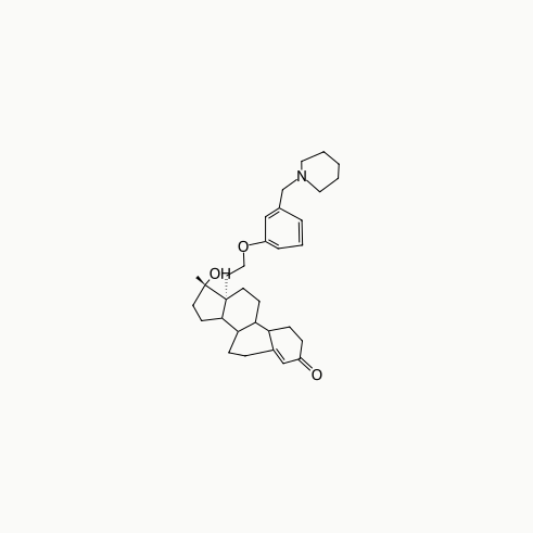 C[C@]1(O)CCC2C3CCC4=CC(=O)CCC4C3CC[C@@]21CCOc1cccc(CN2CCCCC2)c1